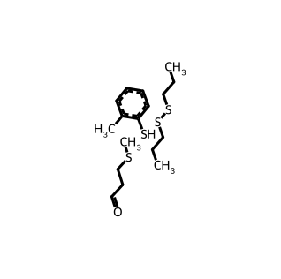 CCCSSCCC.CSCCC=O.Cc1ccccc1S